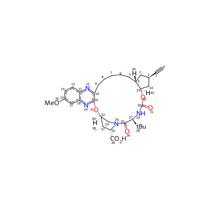 C#C[C@@H]1C[C@H]2CCCCCc3nc4ccc(OC)cc4nc3O[C@H]3CN(C(=O)[C@H](C(C)(C)C)NC(=O)O[C@@H]2C1)[C@H](C(=O)O)[C@@H]3C